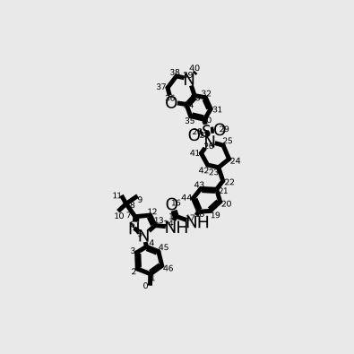 Cc1ccc(-n2nc(C(C)(C)C)cc2NC(=O)Nc2ccc(CC3CCN(S(=O)(=O)c4ccc5c(c4)OCCN5C)CC3)cc2)cc1